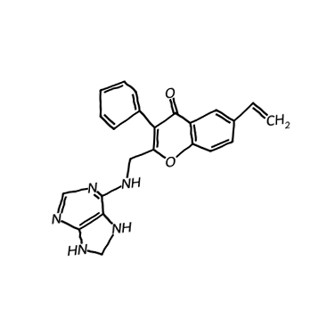 C=Cc1ccc2oc(CNc3ncnc4c3NCN4)c(-c3ccccc3)c(=O)c2c1